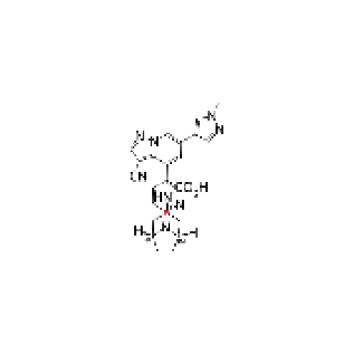 Cn1cc(-c2cc(-c3ccc(N4[C@@H]5CC[C@H]4C[C@H](NC(=O)O)C5)nc3)c3c(C#N)cnn3c2)cn1